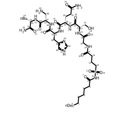 CCCCCCCCCCCCCCCC(=O)NS(=O)(=O)CCCC(=O)NCC(=O)N[C@@H](CO)C(=O)N[C@@H](CCC(N)=O)C(=O)N[C@@H](Cc1c[nH]cn1)C(=O)N[C@@H](CN)C(=O)N[C@@H](CCCC)C(N)=O